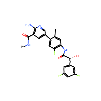 Cc1cc(NC(=O)[C@H](O)c2cc(F)cc(F)c2)c(F)cc1-c1cnc(N)c(C(=O)NC(C)C)c1